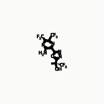 C[C@](O)(c1nnc(-c2nc(C(F)(F)F)c(C(F)(F)F)nc2N)o1)C(F)(F)F